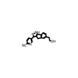 N#Cc1ccc(-c2n[nH]c3c2Cc2cc(CCO)ccc2-3)cn1